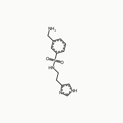 NCc1cccc(S(=O)(=O)NCCc2c[nH]cn2)c1